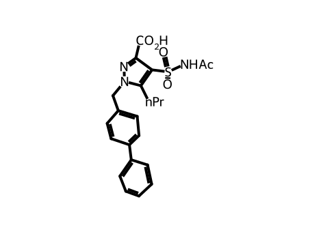 CCCc1c(S(=O)(=O)NC(C)=O)c(C(=O)O)nn1Cc1ccc(-c2ccccc2)cc1